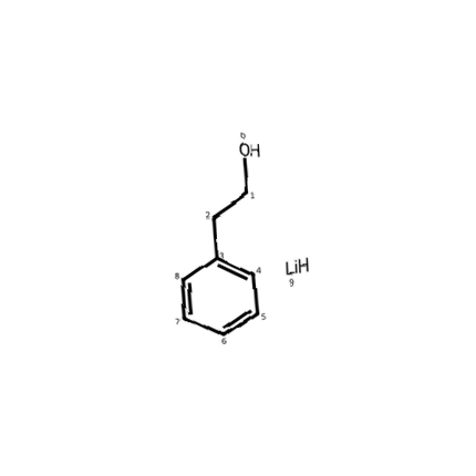 OCCc1ccccc1.[LiH]